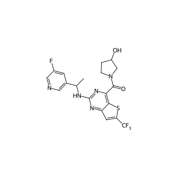 CC(Nc1nc(C(=O)N2CCC(O)C2)c2sc(C(F)(F)F)cc2n1)c1cncc(F)c1